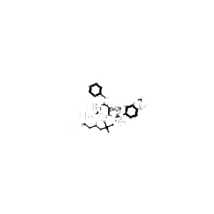 CC(C)(CCCCO)CN(C[C@H](O)[C@H](Cc1ccccc1)NC(=O)O)S(=O)(=O)c1ccc2c(c1)OCO2